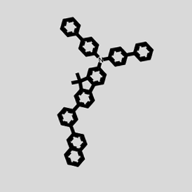 CC1(C)c2cc(-c3cccc(-c4ccc5ccccc5c4)c3)ccc2-c2ccc(N(c3ccc(-c4ccccc4)cc3)c3ccc(-c4ccccc4)cc3)cc21